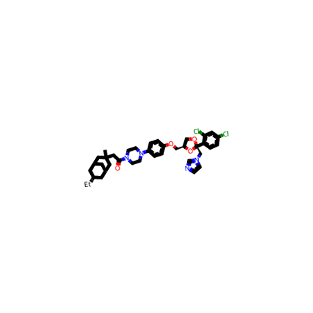 CCC1CC2CC(C1)CC(C)(CC(=O)N1CCN(c3ccc(OC[C@H]4CO[C@](Cn5ccnc5)(c5ccc(Cl)cc5Cl)O4)cc3)CC1)C2